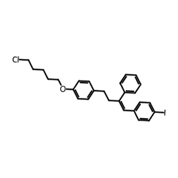 ClCCCCCOc1ccc(CCC(=Cc2ccc(I)cc2)c2ccccc2)cc1